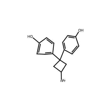 CCCC1CC(c2ccc(O)cc2)(c2ccc(O)cc2)C1